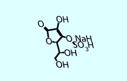 O=C1O[C@H]([C@@H](O)CO)C(OS(=O)(=O)O)=C1O.[NaH]